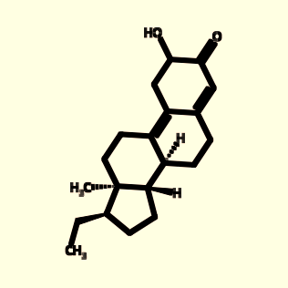 CC[C@@H]1CC[C@H]2[C@@H]3CCC4=CC(=O)C(O)CC4=C3CC[C@]12C